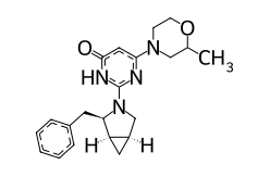 CC1CN(c2cc(=O)[nH]c(N3C[C@H]4C[C@H]4[C@H]3Cc3ccccc3)n2)CCO1